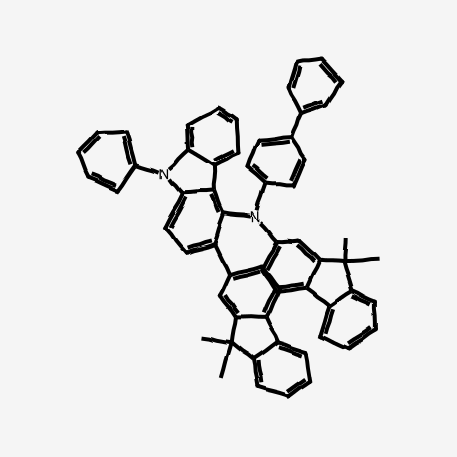 CC1(C)c2ccccc2-c2ccc(-c3ccc4c(c3N(c3ccc(-c5ccccc5)cc3)c3ccc5c(c3)C(C)(C)c3ccccc3-5)c3ccccc3n4-c3ccccc3)cc21